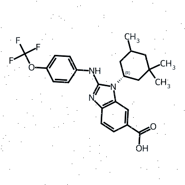 CC1C[C@@H](n2c(Nc3ccc(OC(F)(F)F)cc3)nc3ccc(C(=O)O)cc32)CC(C)(C)C1